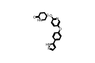 O=C1CC[C@H](Oc2ccc(Oc3ccc(-c4ccn[nH]4)cc3)cn2)CN1